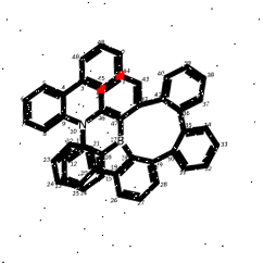 c1ccc(-c2ccccc2N2c3ccccc3B3c4c(-c5ccccc5)cccc4-c4ccccc4-c4ccccc4-c4cccc2c43)cc1